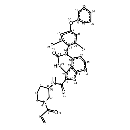 C=CC(=O)N1CCC[C@@H](NC(=O)c2sc3nccc4c3c2NC(=O)N4c2c(C)cc(Oc3ccccc3)cc2F)C1